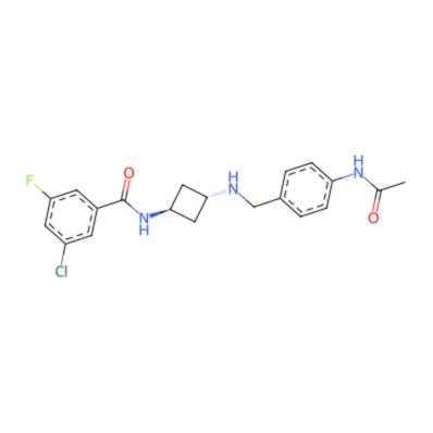 CC(=O)Nc1ccc(CN[C@H]2C[C@H](NC(=O)c3cc(F)cc(Cl)c3)C2)cc1